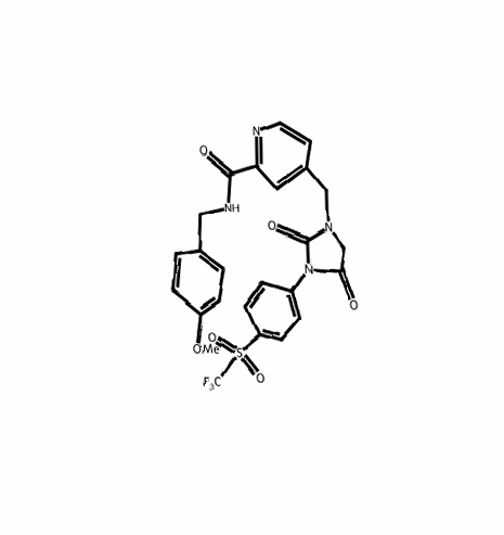 COc1ccc(CNC(=O)c2cc(CN3CC(=O)N(c4ccc(S(=O)(=O)C(F)(F)F)cc4)C3=O)ccn2)cc1